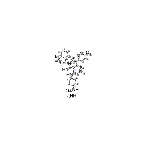 CNC(=O)Nc1ccc(N/C(CN(C)C)=C2\C(=N)N(Cc3c(F)cccc3C(F)(F)F)C(=O)N(c3ccc(OC)nn3)C2=O)cc1